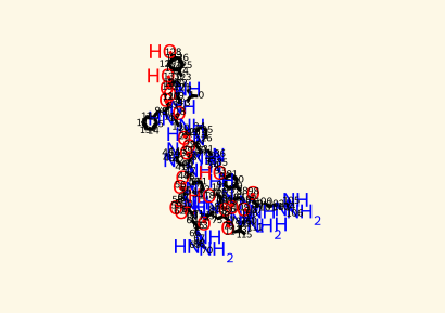 CC(C)C[C@H](NC(=O)[C@H](Cc1ccccc1)NC(=O)CNC(=O)[C@@H]1CCCN1C(=O)[C@H](Cc1c[nH]cn1)NC(=O)[C@H](Cc1c[nH]cn1)NC(=O)[C@@H]1CCCN1C(=O)[C@H](CO)NC(=O)[C@H](CCCNC(=N)N)NC(=O)[C@H](CCC(N)=O)NC(=O)[C@@H](NC(=O)[C@H](Cc1ccc(O)cc1)NC(=O)[C@H](CCCNC(=N)N)NC(=O)[C@@H](N)CC(C)C)[C@@H](C)O)C(=O)N[C@@H](Cc1ccc(O)cc1)C(=O)O